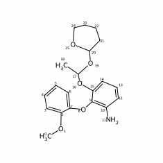 COc1ccccc1Oc1c(N)cccc1OC(C)OC1CCCCO1